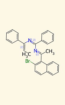 C\C=C(/N=C(\N=C(/C)c1c(Br)ccc2ccccc12)c1ccccc1)c1ccccc1